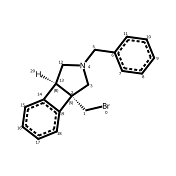 BrC[C@@]12CN(Cc3ccccc3)C[C@@H]1c1ccccc12